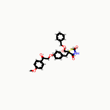 COc1ccc(C(=O)COc2ccc(CC3(C(=O)OCc4ccccc4)SC(=O)NC3=O)cc2)cc1